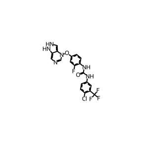 O=C(Nc1ccc(Cl)c(C(F)(F)F)c1)Nc1ccc(ON2C=NC=C3NNC=C32)cc1F